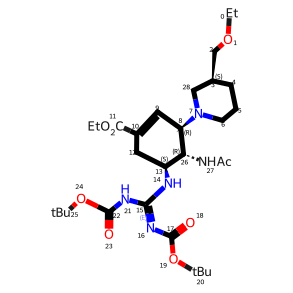 CCOC[C@H]1CCCN([C@@H]2C=C(C(=O)OCC)C[C@H](N/C(=N\C(=O)OC(C)(C)C)NC(=O)OC(C)(C)C)[C@H]2NC(C)=O)C1